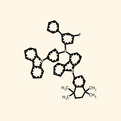 CC1(C)CCC(C)(C)c2cc(-n3c4ccccc4c4c(N(c5ccc(-n6c7ccccc7c7ccccc76)cc5)c5cc(F)cc(-c6ccccc6)c5)cccc43)ccc21